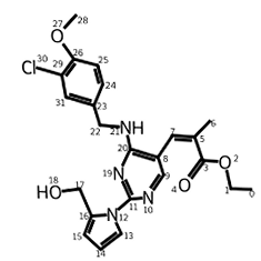 CCOC(=O)C(C)=Cc1cnc(-n2cccc2CO)nc1NCc1ccc(OC)c(Cl)c1